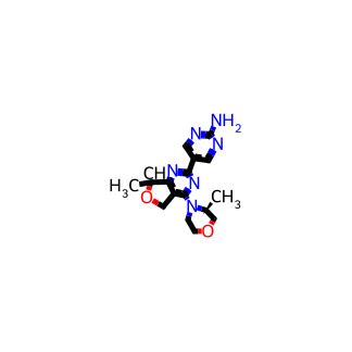 C[C@H]1COCCN1c1nc(-c2cnc(N)nc2)nc2c1COC2(C)C